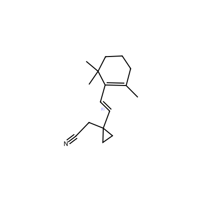 CC1=C(/C=C/C2(CC#N)CC2)C(C)(C)CCC1